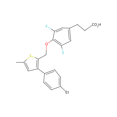 CCc1ccc(-c2cc(C)sc2COc2c(F)cc(CCC(=O)O)cc2F)cc1